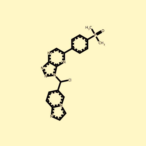 CP(C)(=O)c1ccc(-c2cnc3nnn(C(Cl)c4ccc5nccn5c4)c3n2)cc1